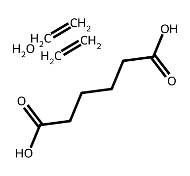 C=C.C=C.O.O=C(O)CCCCC(=O)O